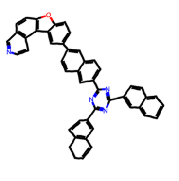 C1=Cc2cc(-c3nc(-c4ccc5ccccc5c4)nc(-c4ccc5cc(-c6ccc7oc8ccc9cnccc9c8c7c6)ccc5c4)n3)ccc2CC1